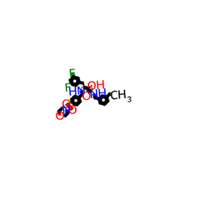 CCc1cccc(CNC[C@H](O)[C@H](Cc2cc(F)cc(F)c2)NC(=O)c2ccc(S(=O)(=O)N3CCOCC3)cc2)c1